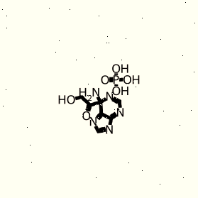 NC1(C(=O)CO)N=CN=C2N=CN=C21.O=P(O)(O)O